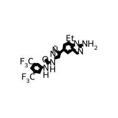 CCc1cc(-c2cc(NC(=O)Nc3cc(C(F)(F)F)cc(C(F)(F)F)c3)nn2C)cc2cnc(N)nc12